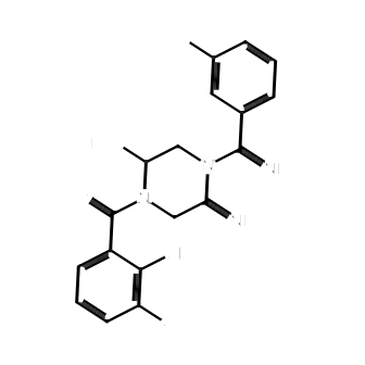 CC1CN(C(=N)c2cccc(F)c2)C(=N)CN1C(=O)c1cccc(Cl)c1Cl